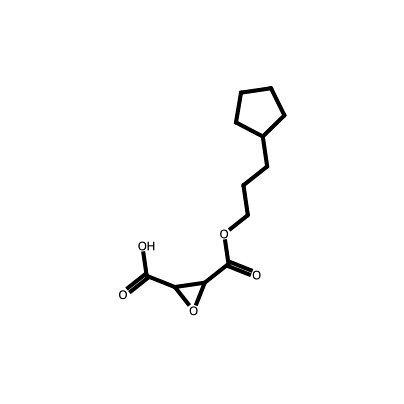 O=C(O)C1OC1C(=O)OCCCC1CCCC1